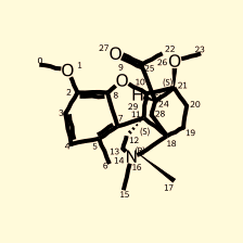 COc1ccc(C)c2c1OC1[C@]23CCN(C)[C@H](C)C32CC[C@]1(OC)[C@@H](C(C)=O)C2